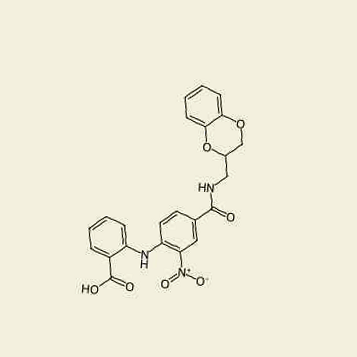 O=C(NCC1COc2ccccc2O1)c1ccc(Nc2ccccc2C(=O)O)c([N+](=O)[O-])c1